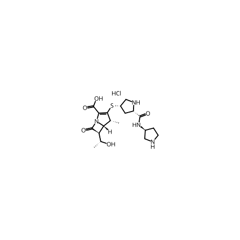 C[C@@H](O)[C@H]1C(=O)N2C(C(=O)O)=C(S[C@@H]3CN[C@H](C(=O)N[C@H]4CCNC4)C3)[C@H](C)[C@H]12.Cl